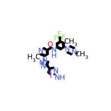 Cc1ncc(C(=O)Nc2cc(N3CCN(C)CC3)c(C)c(C(F)(F)F)c2)cc1-n1cc(C(/C=N\C=N)=C/I)nn1